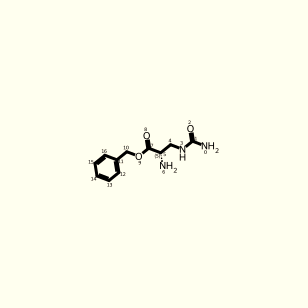 NC(=O)NC[C@H](N)C(=O)OCc1ccccc1